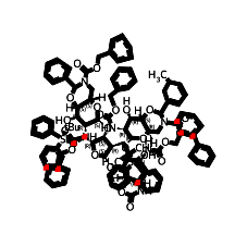 CC1C=CC=C(C2O[C@H]3[C@H](O)[C@@H](NC(=O)OCc4ccccc4)[C@@H](O[C@H]4[C@H](O[C@@H]5O[C@H](CO[Si](c6ccccc6)(c6ccccc6)C(C)(C)C)[C@@H](O[C@H]6O[C@H]7CN(C(=O)OCc8ccccc8)C(c8ccccc8)O[C@H]7[C@H](O)[C@H]6NC(=O)OCc6ccccc6)[C@H]5CC(C)(C)[Si](O)(c5ccccc5)c5ccccc5)[C@H]5OC(=O)N[C@@H]5C[C@@H]4NC(=O)OCc4ccccc4)O[C@@H]3CN2C(=O)OCc2ccccc2)C1